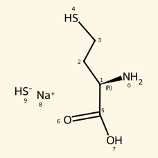 N[C@H](CCS)C(=O)O.[Na+].[SH-]